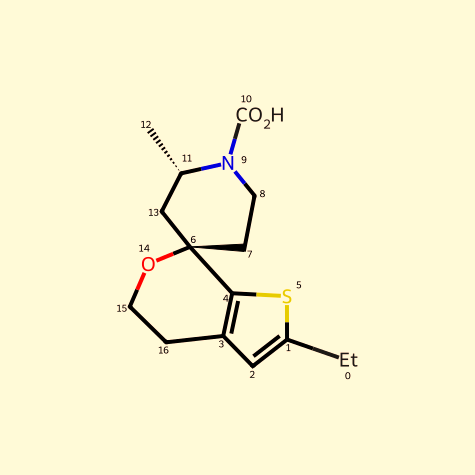 CCc1cc2c(s1)[C@]1(CCN(C(=O)O)[C@@H](C)C1)OCC2